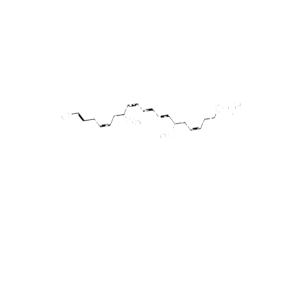 CC/C=C/C/C=C\C[C@H](O)\C=C/C=C/C=C/[C@H](O)C/C=C\CCC(=O)O